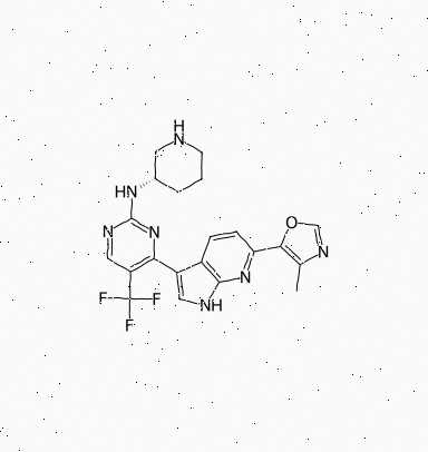 Cc1ncoc1-c1ccc2c(-c3nc(N[C@H]4CCCNC4)ncc3C(F)(F)F)c[nH]c2n1